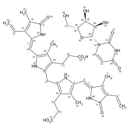 C=CC1=C(C)/C(=C/c2[nH]c(Cc3[nH]c(/C=C4\NC(=O)C(C)=C4C=C)c(C)c3CCC(=O)O)c(CCC(=O)O)c2C)NC1=O.O=c1ccn([C@@H]2O[C@H](CO)[C@@H](O)[C@H]2O)c(=O)[nH]1